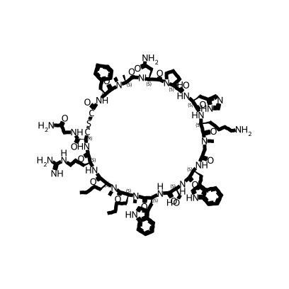 CCCC[C@H]1C(=O)N(C)[C@@H](CCCC)C(=O)N[C@@H](CCCNC(=N)N)C(=O)N[C@H](C(=O)NCC(N)=O)CSCC(=O)N[C@@H](Cc2ccccc2)C(=O)N(C)[C@@H](C)C(=O)N[C@@H](CC(N)=O)C(=O)N2CCC[C@H]2C(=O)N[C@@H](Cc2cnc[nH]2)C(=O)N[C@@H](CCCCN)C(=O)N(C)CC(=O)N[C@@H](Cc2c[nH]c3ccccc23)C(=O)N[C@@H](CO)C(=O)N[C@@H](Cc2c[nH]c3ccccc23)C(=O)N1C